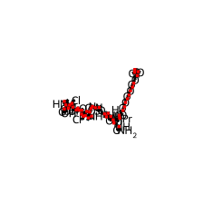 Cc1c[nH]c2c(OC(=O)N(C)CCN(C)C(=S)OCc3ccc(NC(=O)C(CCCNC(N)=O)NC(=O)C(NC(=O)CCOCCOCCOCCOCCOCCOCCN4C(=O)C=CC4=O)C(C)C)cc3)cc3c(c12)C(CCl)CN3C(=O)C12CC(C(=O)N3CC(CCl)c4c3cc(OP(=O)(O)O)c3[nH]cc(C)c43)(C1)C2